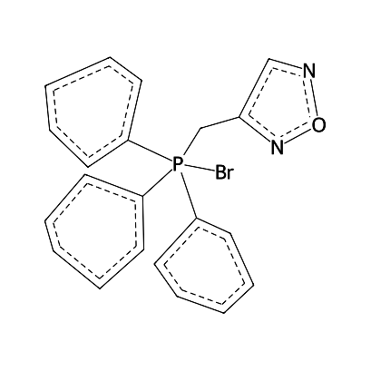 BrP(Cc1cnon1)(c1ccccc1)(c1ccccc1)c1ccccc1